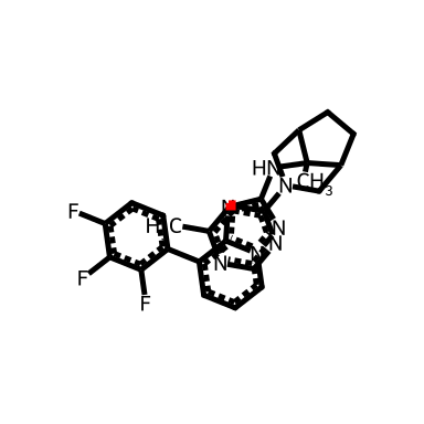 Cc1cc(N2CC3CCC(C2)C3(C)Nc2nc3c(-c4ccc(F)c(F)c4F)cccn3n2)ncn1